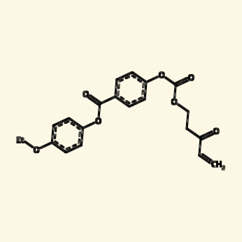 C=CC(=O)CCOC(=O)Oc1ccc(C(=O)Oc2ccc(OCC)cc2)cc1